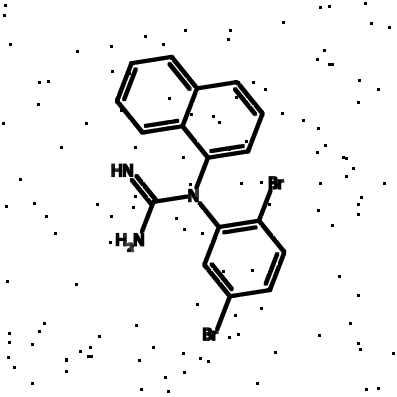 N=C(N)N(c1cc(Br)ccc1Br)c1cccc2ccccc12